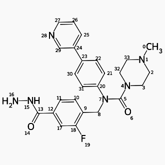 CN1CCN(C(=O)N(Cc2ccc(C(=O)NN)cc2F)c2ccc(-c3cccnc3)cc2)CC1